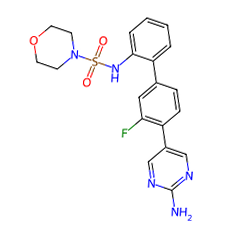 Nc1ncc(-c2ccc(-c3ccccc3NS(=O)(=O)N3CCOCC3)cc2F)cn1